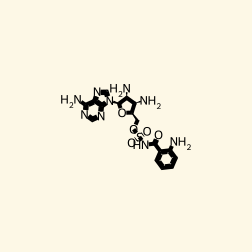 Nc1ccccc1C(=O)NS(=O)(=O)OC[C@H]1O[C@@H](n2cnc3c(N)ncnc32)[C@H](N)[C@@H]1N